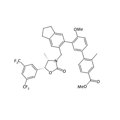 COC(=O)c1ccc(-c2ccc(OC)c(-c3cc4c(cc3CN3C(=O)O[C@H](c5cc(C(F)(F)F)cc(C(F)(F)F)c5)[C@@H]3C)CCC4)c2)c(C)c1